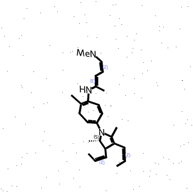 C/C=C\C1=C(C)N(C2=CCC(C)=C(N/C(C)=C/C=C\NC)C=C2)[C@@H](C)C1/C=C\C